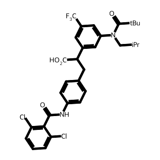 CC(C)CN(C(=O)C(C)(C)C)c1cc(C(Cc2ccc(NC(=O)c3c(Cl)cccc3Cl)cc2)C(=O)O)cc(C(F)(F)F)c1